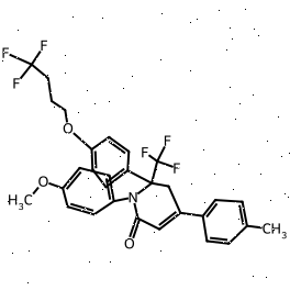 COc1ccc(N2C(=O)C=C(c3ccc(C)cc3)CC2(c2ccc(OCCCC(F)(F)F)cc2)C(F)(F)F)cc1